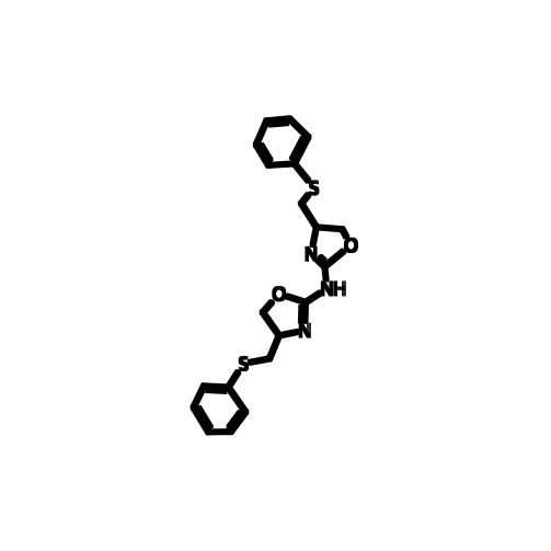 c1ccc(SCC2COC(NC3=NC(CSc4ccccc4)CO3)=N2)cc1